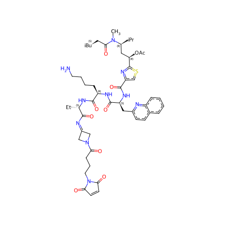 CC[C@H](C)CC(=O)N(C)[C@H](C[C@@H](OC(C)=O)c1nc(C(=O)N[C@@H](Cc2ccc3ccccc3n2)C(=O)N[C@H](CCCCN)C(=O)N[C@@H](CC)C(=O)N=C2CN(C(=O)CCCN3C(=O)C=CC3=O)C2)cs1)C(C)C